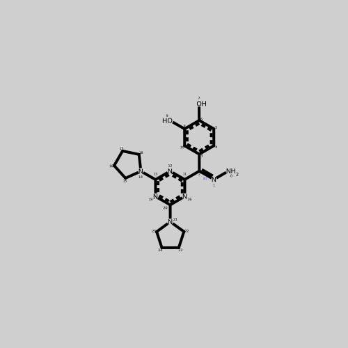 N/N=C(\c1ccc(O)c(O)c1)c1nc(N2CCCC2)nc(N2CCCC2)n1